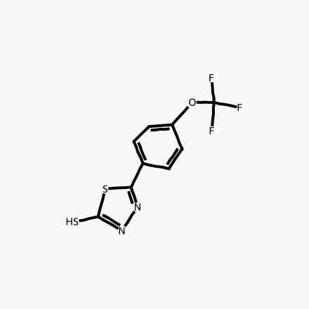 FC(F)(F)Oc1ccc(-c2nnc(S)s2)cc1